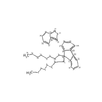 CCCCCCCCC1(CCCCCCCC)c2ccccc2-c2ccccc21.c1ccc2nsnc2c1